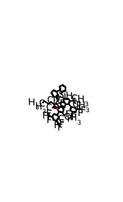 CCCCC1=Cc2c(ccc(C(C)C)c2-c2cc(C(F)(F)F)cc(C(F)(F)F)c2)[CH]1[Zr]([Cl])([Cl])([c]1cccc2c1[SiH2]c1ccccc1-2)[CH]1C(CCCC)=Cc2c1ccc(C(C)C)c2-c1cc(C(F)(F)F)cc(C(F)(F)F)c1